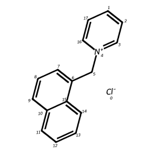 [Cl-].c1cc[n+](Cc2cccc3ccccc23)cc1